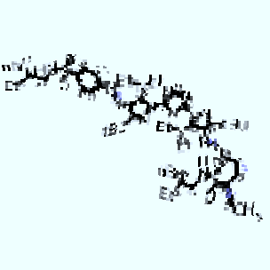 C/C=C(\C=C/C/N=N/c1c(C(C)(C)C)nn(-c2ncnc(-n3nc(C(C)(C)C)c(/N=N/c4ccc(S(=O)(=O)NCC(CC)CCCC)cc4)c3N(CC)CC)n2)c1N(CC)CC)S(=O)(=O)NCC(CC)CCCC